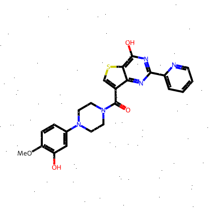 COc1ccc(N2CCN(C(=O)c3csc4c(O)nc(-c5ccccn5)nc34)CC2)cc1O